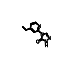 CCc1ccnc(-n2cn[nH]c2=O)c1